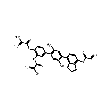 C=CC(=O)Oc1ccc(-c2cc(C)c(-c3ccc(OC(=O)C(=C)C)c(OC(=O)C(=C)C)c3)cc2C)c2c1CCC2